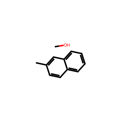 CO.Cc1ccc2ccccc2c1